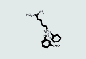 NC1CCCCC1.NCCCCC(N)C(=O)O.O=Cc1cccc([N+](=O)[O-])c1